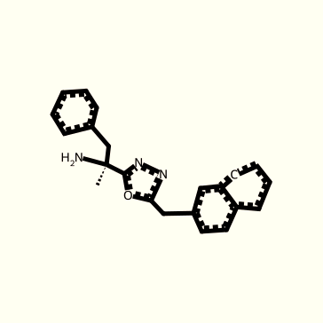 C[C@](N)(Cc1ccccc1)c1nnc(Cc2ccc3ccccc3c2)o1